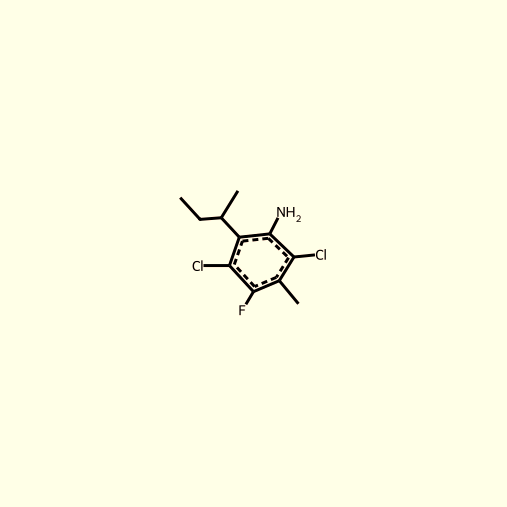 CCC(C)c1c(N)c(Cl)c(C)c(F)c1Cl